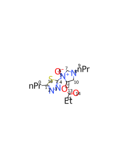 CCCc1nnc([N+]2([O-])CN(CCC)CC2OC(=O)CC)s1